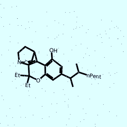 CCCCCC(C)C(C)c1cc(O)c2c(c1)OC(CC)(CC)C1=C2C2CCN1CC2